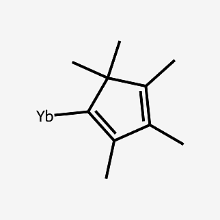 CC1=C(C)C(C)(C)[C]([Yb])=C1C